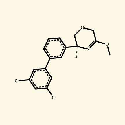 COC1=N[C@@](C)(c2cccc(-c3cc(Cl)cc(Cl)c3)c2)COC1